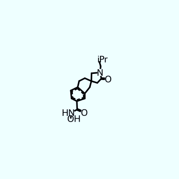 CC(C)CN1CC2(CCc3ccc(C(=O)NO)cc3C2)CC1=O